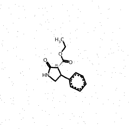 CCOC(=O)[C@H]1C(=O)NCC1c1ccccc1